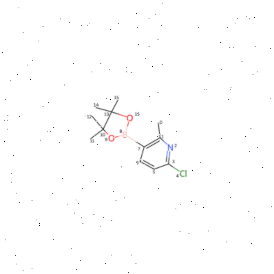 Cc1nc(Cl)ccc1B1OC(C)(C)C(C)(C)O1